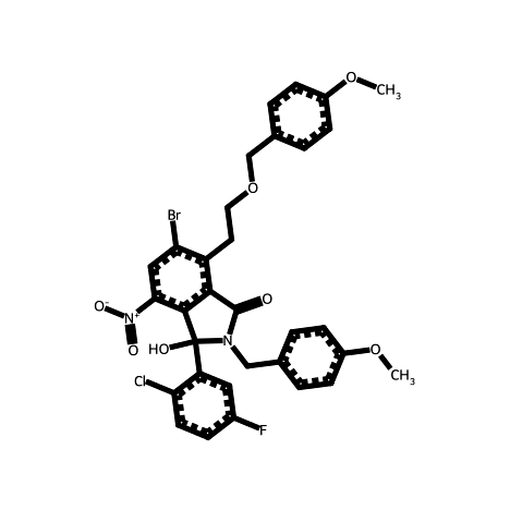 COc1ccc(COCCc2c(Br)cc([N+](=O)[O-])c3c2C(=O)N(Cc2ccc(OC)cc2)C3(O)c2cc(F)ccc2Cl)cc1